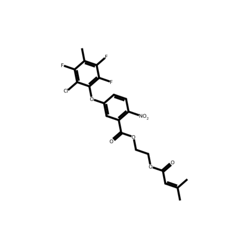 CC(C)=CC(=O)OCCOC(=O)c1cc(Oc2c(F)c(F)c(C)c(F)c2Cl)ccc1[N+](=O)[O-]